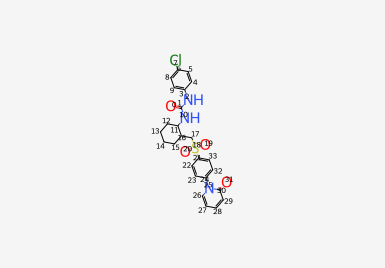 O=C(Nc1ccc(Cl)cc1)NC1CCCCC1CS(=O)(=O)c1ccc(-n2ccccc2=O)cc1